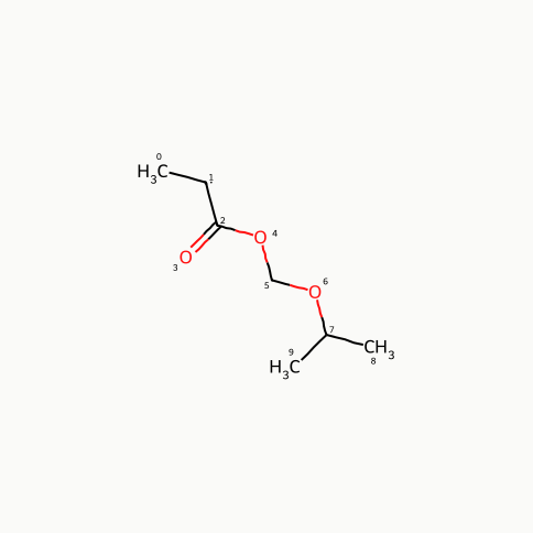 C[CH]C(=O)OCOC(C)C